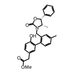 COC(=O)Cc1ccc(O)c(-c2ccc(C)cc2CN2C(=O)O[C@H](c3ccccc3)[C@@H]2C)c1